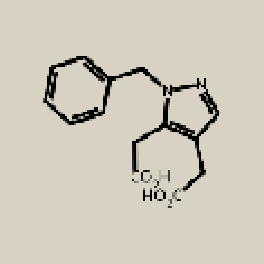 O=C(O)Cc1cnn(Cc2ccccc2)c1CC(=O)O